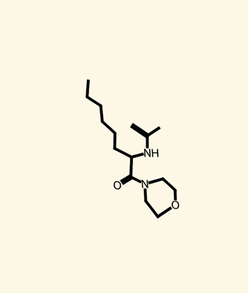 C=C(C)NC(CCCCCC)C(=O)N1CCOCC1